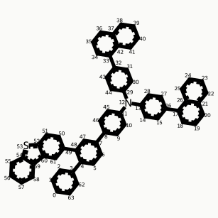 c1ccc(-c2ccc(-c3ccc(N(c4ccc(-c5cccc6ccccc56)cc4)c4ccc(-c5cccc6ccccc56)cc4)cc3)cc2-c2ccc3sc4ccccc4c3c2)cc1